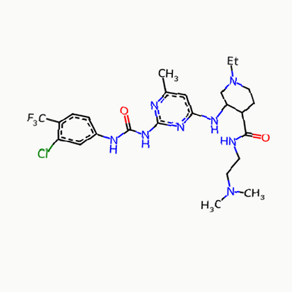 CCN1CCC(C(=O)NCCN(C)C)C(Nc2cc(C)nc(NC(=O)Nc3ccc(C(F)(F)F)c(Cl)c3)n2)C1